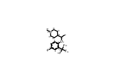 CC(Oc1ccc(F)cc1C(F)(F)F)C1CCN(C)CC1